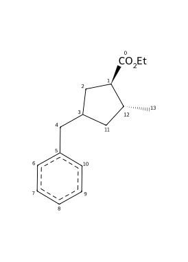 CCOC(=O)[C@@H]1CC(Cc2ccccc2)C[C@H]1C